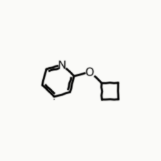 [c]1ccnc(OC2CCC2)c1